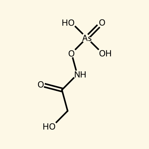 O=C(CO)NO[As](=O)(O)O